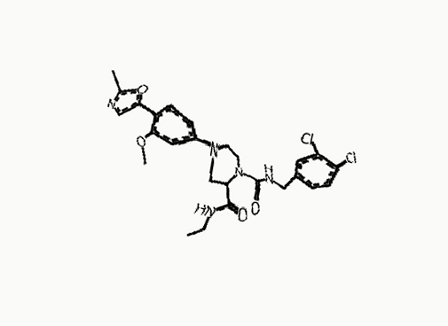 CCNC(=O)C1CN(c2ccc(-c3cnc(C)o3)c(OC)c2)CCN1C(=O)NCc1ccc(Cl)c(Cl)c1